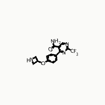 NC(=O)c1cnc(C(F)(F)F)nc1-c1ccc(OC2CNC2)cc1